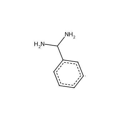 NC(N)c1c[c]ccc1